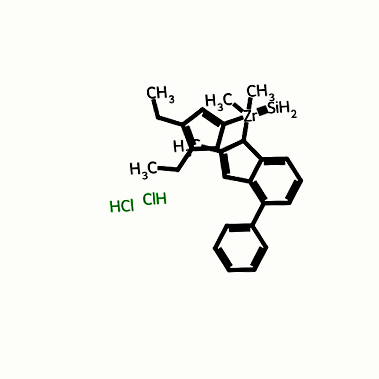 CCC1=C(CC)C[C]([Zr]([CH3])([CH3])(=[SiH2])[CH]2C(C)=Cc3c(-c4ccccc4)cccc32)=C1.Cl.Cl